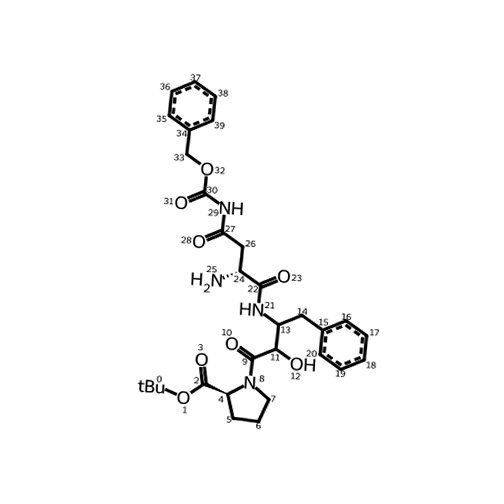 CC(C)(C)OC(=O)[C@@H]1CCCN1C(=O)C(O)C(Cc1ccccc1)NC(=O)[C@H](N)CC(=O)NC(=O)OCc1ccccc1